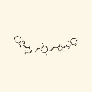 Cc1cc(/C=C/C2=CS/C(=C3/SC4=C(SSCC4)S3)S2)c(C)cc1/C=C/C1=CS/C(=C2/SC3=C(SSCC3)S2)S1